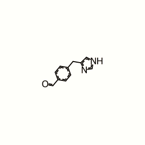 O=Cc1ccc(Cc2c[nH]cn2)cc1